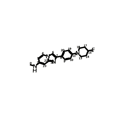 CNc1ccn2cc(-c3ccc(N4CCC(F)CC4)cc3)nc2c1